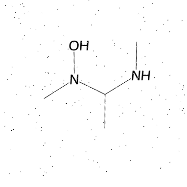 CNC(C)N(C)O